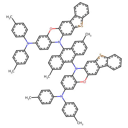 Cc1ccc(N(c2ccc(C)cc2)c2ccc3c(c2)Oc2cc4c(cc2N3c2c3ccc(C)cc3c(N3c5ccc(N(c6ccc(C)cc6)c6ccc(C)cc6)cc5Oc5cc6c(cc53)sc3ccccc36)c3ccc(C)cc23)sc2ccccc24)cc1